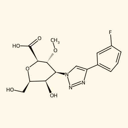 CO[C@@H]1[C@@H](n2cc(-c3cccc(F)c3)nn2)[C@@H](O)[C@@H](CO)O[C@H]1C(=O)O